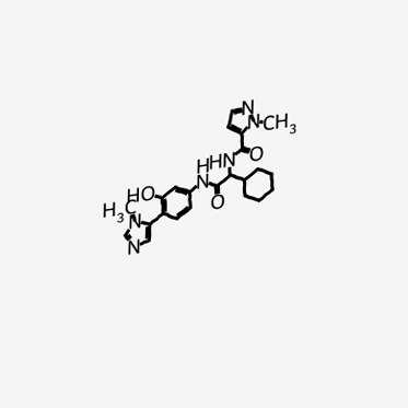 Cn1cncc1-c1ccc(NC(=O)C(NC(=O)c2ccnn2C)C2CCCCC2)cc1O